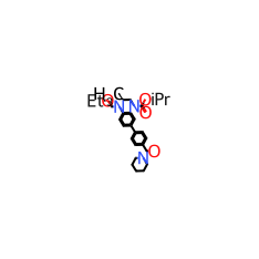 CCOCN1c2ccc(-c3ccc(C(=O)N4CCCCC4)cc3)cc2N(C(=O)OC(C)C)C[C@@H]1C